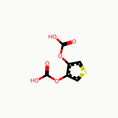 O=C(O)Oc1cscc1OC(=O)O